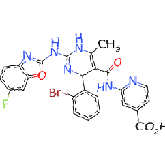 CC1=C(C(=O)Nc2cc(C(=O)O)ccn2)C(c2ccccc2Br)N=C(Nc2nc3ccc(F)cc3o2)N1